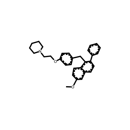 COc1ccc2c(Cc3ccc(OCCN4CCCCC4)cc3)c(-c3ccccc3)ccc2c1